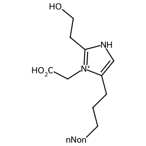 CCCCCCCCCCCCc1c[nH]c(CCO)[n+]1CC(=O)O